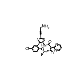 NCC#Cc1nc(-c2cc(Cl)ccc2OC(F)F)c(NC(=O)c2cnn3cccnc23)s1